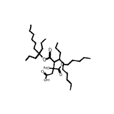 CCCCCCC(CCC)C(C(=O)OC(CCC)(CCC)CCCCCC)C(O)(CC(=O)O)C(=O)OCCCCC